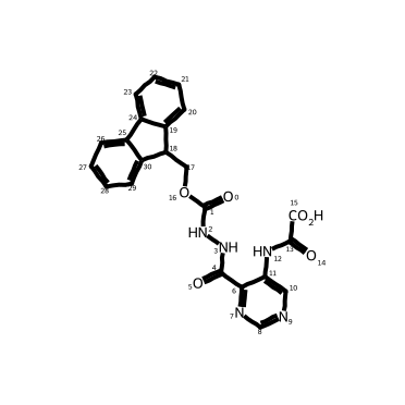 O=C(NNC(=O)c1ncncc1NC(=O)C(=O)O)OCC1c2ccccc2-c2ccccc21